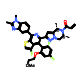 C=CC(=O)N1[C@H](C)Cn2nc(-c3nc(-c4ccc5c(c4)nc(C)n5C)c4scc(F)c4c3-c3c(F)cc(F)cc3OCCOC)cc2[C@@H]1C